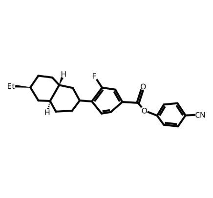 CC[C@H]1CC[C@@H]2CC(c3ccc(C(=O)Oc4ccc(C#N)cc4)cc3F)CC[C@H]2C1